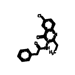 CCc1nc2ccc(Cl)cc2c(=O)n1NC(=O)Cc1ccccc1